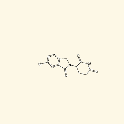 O=C1CCC(N2Cc3ccc(Cl)nc3C2=O)C(=O)N1